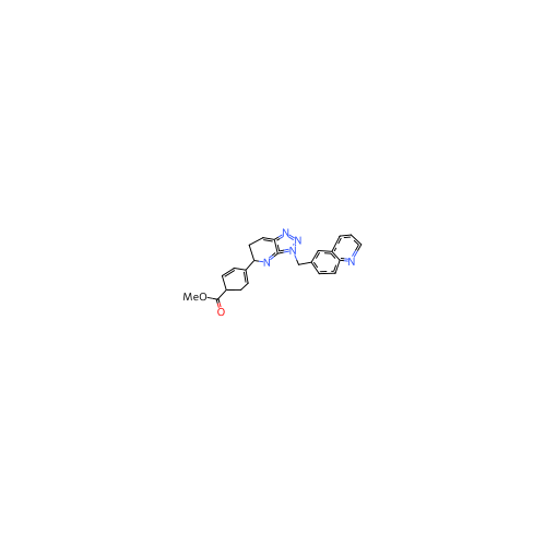 COC(=O)C1C=CC(C2CC=c3nnn(Cc4ccc5ncccc5c4)c3=N2)=CC1